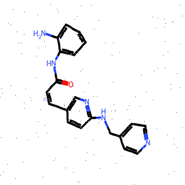 Nc1ccccc1NC(=O)/C=C\c1ccc(NCc2ccncc2)nc1